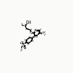 C[C@@H](O)CCOc1ncc(C(F)(F)F)cc1-c1ccc(S(C)(=O)=O)cc1